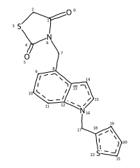 O=C1CSC(=O)N1Cc1cccc2c1ccn2Cc1cccs1